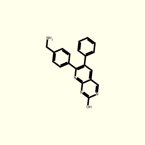 NCc1ccc(-c2nc3nc(O)ncc3cc2-c2ccccc2)cc1